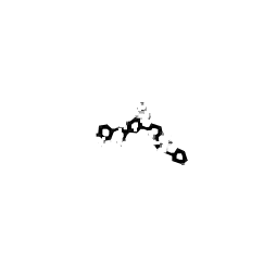 CNC(=O)c1c(-c2ccc(F)cc2)oc2cc(N(C)S(C)(=O)=O)c(-c3ccc4c(n3)C(=O)N(Cc3cccc(F)c3)CO4)cc12